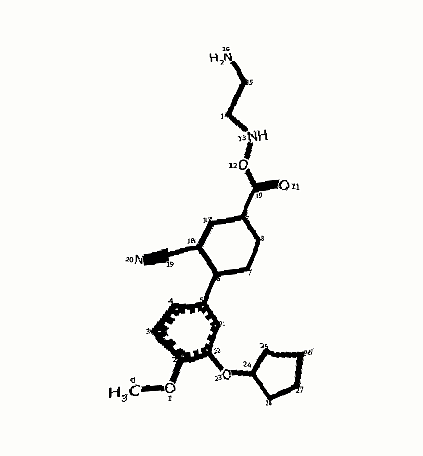 COc1ccc(C2CCC(C(=O)ONCCN)CC2C#N)cc1OC1CCCC1